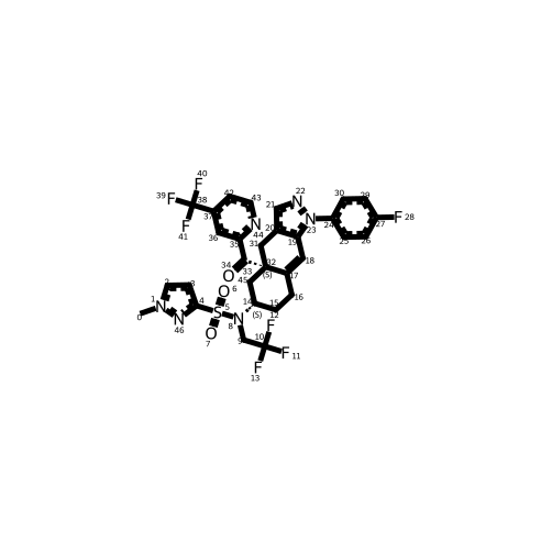 Cn1ccc(S(=O)(=O)N(CC(F)(F)F)[C@H]2CCC3=Cc4c(cnn4-c4ccc(F)cc4)C[C@]3(C(=O)c3cc(C(F)(F)F)ccn3)C2)n1